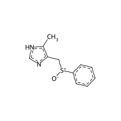 Cc1[nH]cnc1C[S+]([O-])c1ccccc1